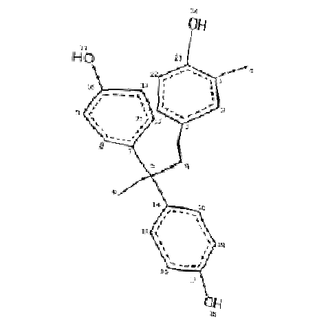 Cc1cc(CC(C)(c2ccc(O)cc2)c2ccc(O)cc2)ccc1O